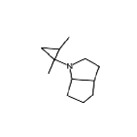 CC1CC1(C)N1CCC2CCCC21